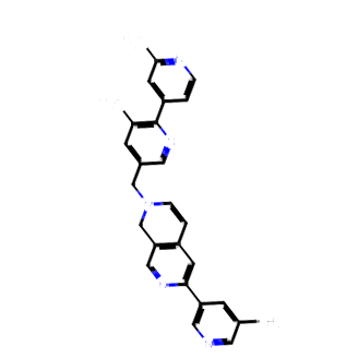 Cc1cncc(-c2cc3c(cn2)CN(Cc2cnc(-c4ccnc(C)c4)c(C)c2)C=C3)c1